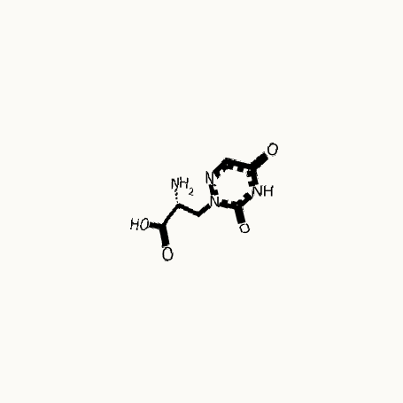 N[C@H](Cn1ncc(=O)[nH]c1=O)C(=O)O